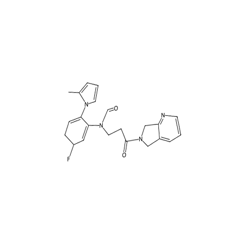 Cc1cccn1C1=CCC(F)C=C1N(C=O)CCC(=O)N1Cc2cccnc2C1